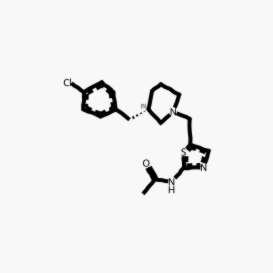 CC(=O)Nc1ncc(CN2CCC[C@@H](Cc3ccc(Cl)cc3)C2)s1